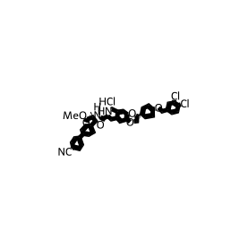 COC(=O)[C@](C)(Cc1ccc(-c2ccc(C#N)cc2)cc1)NC(=O)C1Cc2cc3c(cc2CN1)O[C@@H](c1ccc(OCc2ccc(Cl)c(Cl)c2)cc1)CO3.Cl